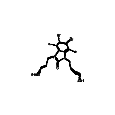 O=c1n(CC=CO)c2c(Br)c(Br)c(Br)c(Br)c2n1CC=CO